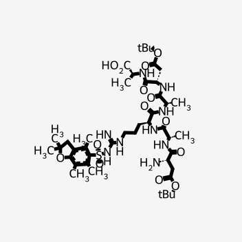 Cc1c(C)c(S(=O)(=O)NC(=N)NCCC[C@H](NC(=O)[C@H](C)NC(=O)[C@@H](N)CC(=O)OC(C)(C)C)C(=O)N[C@@H](C)C(=O)N[C@@H](CC(=O)OC(C)(C)C)C(=O)N[C@@H](C)C(=O)O)c(C)c2c1OC(C)(C)C2